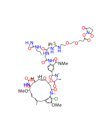 CNC(=O)c1cc(C(=O)N(C)[C@@H](C)C(=O)O[C@H]2CC(=O)N(C)c3cc(cc(OC)c3Cl)C/C(C)=C/C=C/[C@@H](OC)[C@@]3(O)C[C@H](OC(=O)N3)[C@@H](C)[C@@H]3O[C@@]23C)ccc1NC(=O)[C@H](CCCNC(N)=O)NC(=O)[C@@H](NC(=S)NCCOCCOCCC(=O)ON1C(=O)CCC1=O)C(C)C